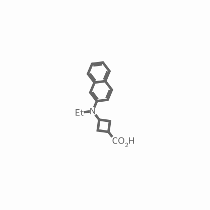 CCN(c1ccc2ccccc2c1)C1CC(C(=O)O)C1